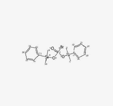 C[Si](C)(OP(=O)(Br)O[Si](C)(C)c1ccccc1)c1ccccc1